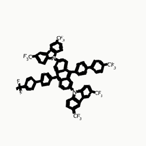 CC(F)(F)c1ccc(-c2ccc(-c3c4ccc(-n5c6ccc(C(F)(F)F)cc6c6cc(C(F)(F)F)ccc65)cc4c(-c4ccc(-c5ccc(C(F)(F)F)cc5)cc4)c4ccc(-n5c6ccc(C(F)(F)F)cc6c6cc(C(F)(F)F)ccc65)cc34)cc2)cc1